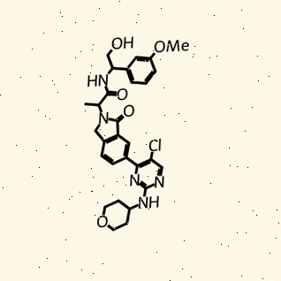 COc1cccc(C(CO)NC(=O)C(C)N2Cc3ccc(-c4nc(NC5CCOCC5)ncc4Cl)cc3C2=O)c1